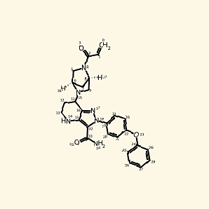 C=CC(=O)N1C[C@H]2C[C@@H]1CN2C1CCNc2c1nn(-c1ccc(Oc3ccccc3)cc1)c2C(N)=O